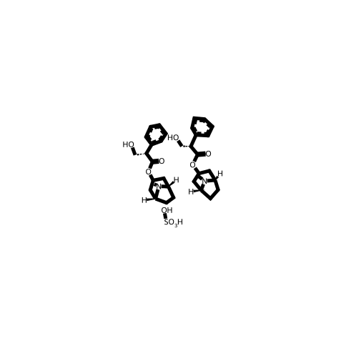 CN1[C@@H]2CC[C@H]1CC(OC(=O)[C@H](CO)c1ccccc1)C2.CN1[C@@H]2CC[C@H]1CC(OC(=O)[C@H](CO)c1ccccc1)C2.O=S(=O)(O)O